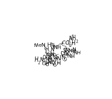 CNCCCC[C@H](N)C(=O)N[C@H](C(=O)N[C@@H](C)C(=O)NCC(=O)N[C@H](CCCN)C(=O)N1CCC[C@H]1C(=O)N[C@@H](Cc1cnc[nH]1)C(=O)N[C@@H](CCCCN)C(=O)CC/C(=C\CCNC(=N)N)C(=O)O)[C@@H](O)CN